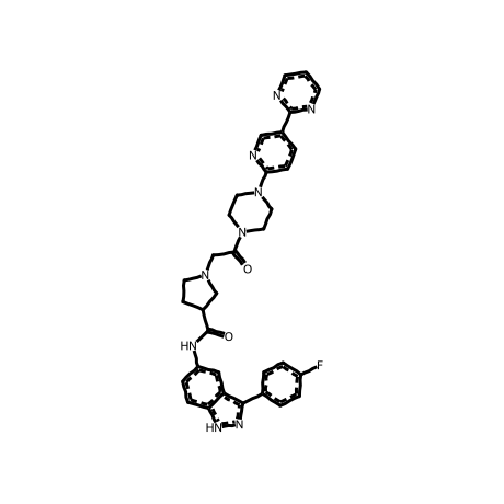 O=C(Nc1ccc2[nH]nc(-c3ccc(F)cc3)c2c1)C1CCN(CC(=O)N2CCN(c3ccc(-c4ncccn4)cn3)CC2)C1